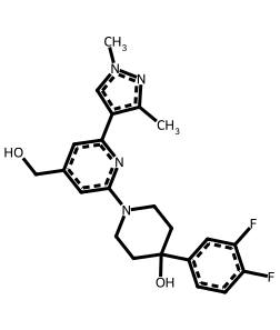 Cc1nn(C)cc1-c1cc(CO)cc(N2CCC(O)(c3ccc(F)c(F)c3)CC2)n1